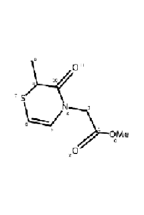 COC(=O)CN1C=CSC(C)C1=O